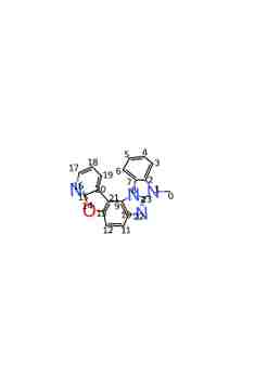 Cn1c2ccccc2n2c3c(ccc4oc5ncccc5c43)nc12